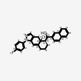 C[C@]12Cc3cnn(-c4ccc(F)cc4)c3C=C1CCC[C@@H]2[C@@H](O)c1ccc2ccccc2c1